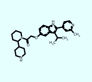 Cc1cc(-c2[nH]c3ccc(OCC(=O)N4CCCCC4C4CCNCC4)cc3c2C(C)C)ccn1